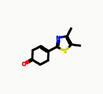 Cc1nc(C2=CCC(=O)CC2)sc1C